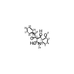 COc1cccc2c1C(O)=C(C(=O)N(C)c1ccccc1)C(O)N2C